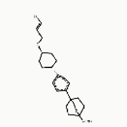 CC/C=C/CO[C@H]1CC[C@H](c2ccc(C34CCC(CCCCCCC)(CC3)CC4)cc2)CC1